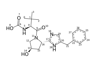 CC(C)(C)[C@H](NC(=O)O)C(=O)N1C[C@H](O)C[C@H]1c1ncc(Cc2ccccc2)[nH]1